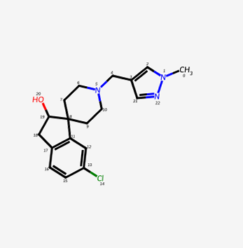 Cn1cc(CN2CCC3(CC2)c2cc(Cl)ccc2CC3O)cn1